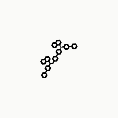 c1ccc(-c2ccc(C(Cc3ccc(-c4ccc(N(c5ccc(-c6ccccc6)cc5)c5cccc6ccccc56)cc4)cc3)c3cccc4ccccc34)cc2)cc1